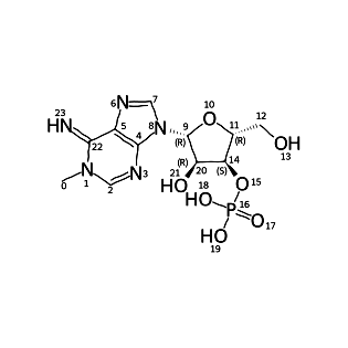 Cn1cnc2c(ncn2[C@@H]2O[C@H](CO)[C@@H](OP(=O)(O)O)[C@H]2O)c1=N